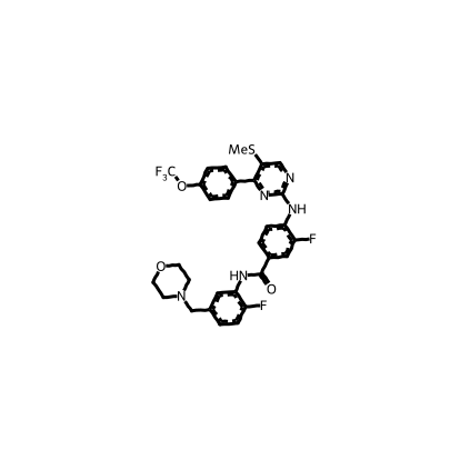 CSc1cnc(Nc2ccc(C(=O)Nc3cc(CN4CCOCC4)ccc3F)cc2F)nc1-c1ccc(OC(F)(F)F)cc1